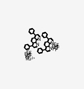 F[P-](F)(F)(F)(F)F.F[P-](F)(F)(F)(F)F.[Ru+2].c1ccc(-c2ccnc3c2ccc2c(-c4ccccc4)ccnc23)cc1.c1ccc(-c2ccnc3c2ccc2c(-c4ccccc4)ccnc23)cc1